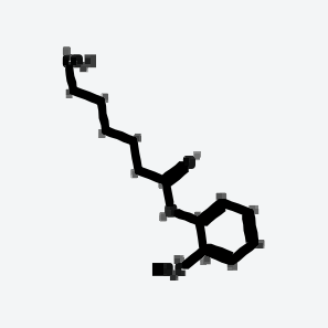 O=C(O)CCCCCC(=O)Oc1ccccc1C(=O)O